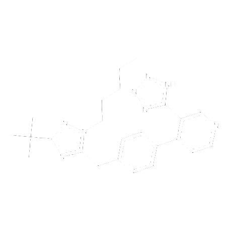 CCCCCn1nc(C(C)(C)C)nc1Cc1ccc(-c2ccncc2-c2nnn[nH]2)cc1